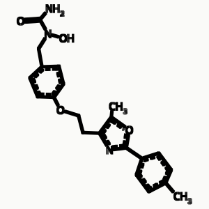 Cc1ccc(-c2nc(CCOc3ccc(CN(O)C(N)=O)cc3)c(C)o2)cc1